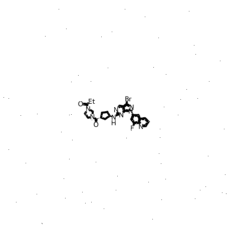 CCC(=O)N1CCN(C(=O)[C@@H]2CC[C@@H](Nc3ncc4c(Br)nn(-c5cc(F)c6ncccc6c5)c4n3)C2)C1